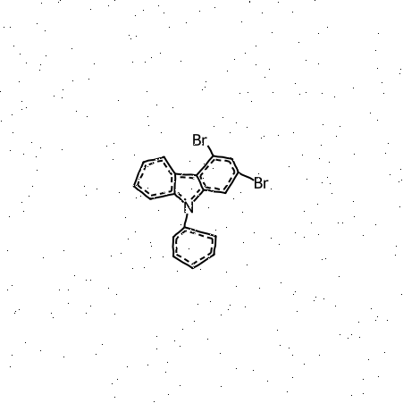 Brc1cc(Br)c2c3ccccc3n(-c3ccccc3)c2c1